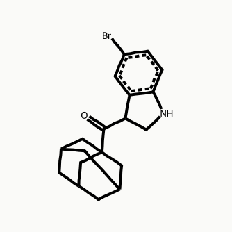 O=C(C1CNc2ccc(Br)cc21)C12CC3CC(CC(C3)C1)C2